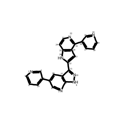 c1cncc(-c2cnc3[nH]nc(-c4cc5c(-c6cccnc6)nccc5[nH]4)c3c2)c1